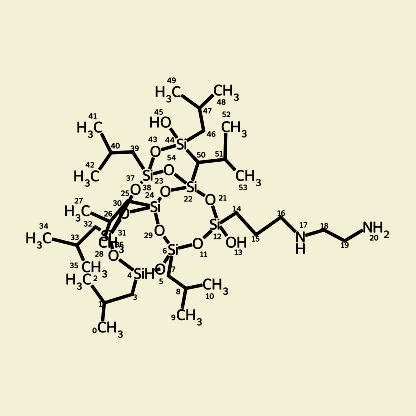 CC(C)C[SiH]1O[Si]2(CC(C)C)O[Si](O)(CCCNCCN)O[Si]34O[Si](CC(C)C)(O2)O[Si](CC(C)C)(O1)O[Si](CC(C)C)(O[Si](O)(CC(C)C)C3C(C)C)O4